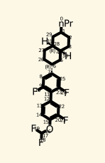 CCCC1CC[C@@H]2C[C@H](c3cc(F)c(-c4ccc(OC(F)F)c(F)c4)c(F)c3)CC[C@@H]2C1